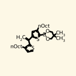 C=C(c1cc(CCCCCCCC)c(B2OCC(C)(C)CO2)s1)c1sccc1CCCCCCCC